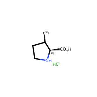 CCCC1CCN[C@@H]1C(=O)O.Cl